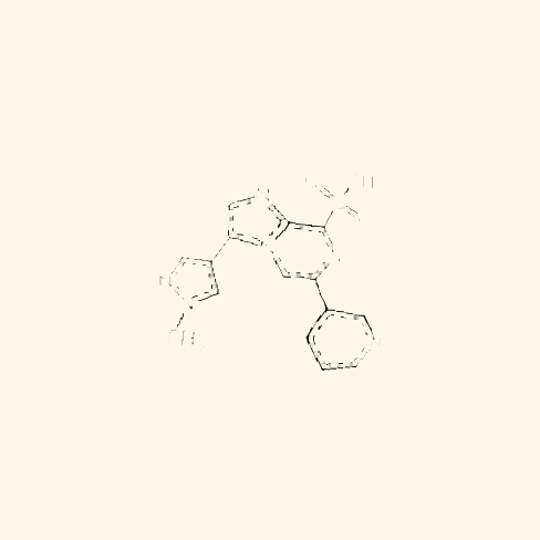 Cn1cc(-c2cnc3c(S(C)(=O)=O)nc(-c4cccnc4)cn23)cn1